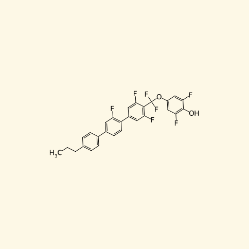 CCCc1ccc(-c2ccc(-c3cc(F)c(C(F)(F)Oc4cc(F)c(O)c(F)c4)c(F)c3)c(F)c2)cc1